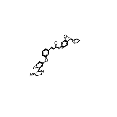 O=C(/C=C/c1cccc(Oc2ccnc(C3=NCCN3)c2)c1)Nc1ccc(CN2CCCC2)c(C(F)(F)F)c1